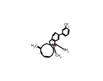 C=C1/C=C\C=C/CCCC2(CC1)Cc1ccc(-c3cccc(C(F)(F)F)c3)cc1C21N=C(N)N(C)O1